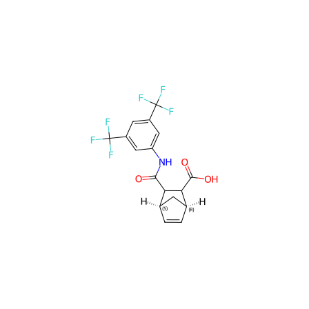 O=C(Nc1cc(C(F)(F)F)cc(C(F)(F)F)c1)C1C(C(=O)O)[C@H]2C=C[C@@H]1C2